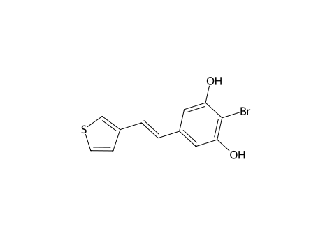 Oc1cc(C=Cc2ccsc2)cc(O)c1Br